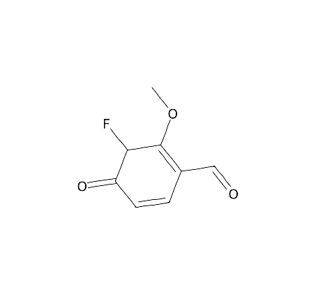 COC1=C(C=O)C=CC(=O)C1F